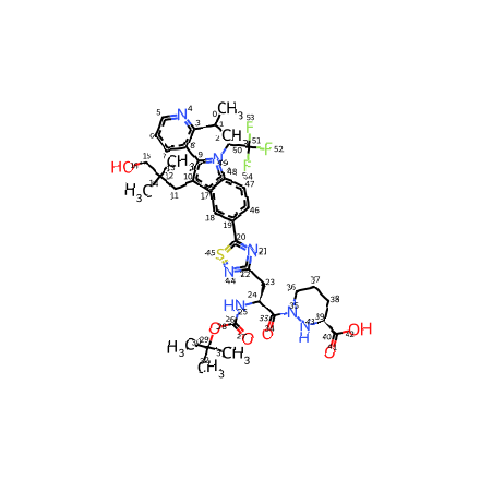 CC(C)c1ncccc1-c1c(CC(C)(C)CO)c2cc(-c3nc(C[C@H](NC(=O)OC(C)(C)C)C(=O)N4CCC[C@@H](C(=O)O)N4)ns3)ccc2n1CC(F)(F)F